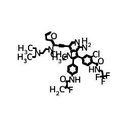 C=C(F)C(=O)Nc1ccc(-c2c(-c3ccc(C(=O)NCC(F)(F)F)c(Cl)c3)c3c(N)ncc(C#CC(=C4CC=CO4)N(C)CCN(CC)CC)c3n2C)cc1